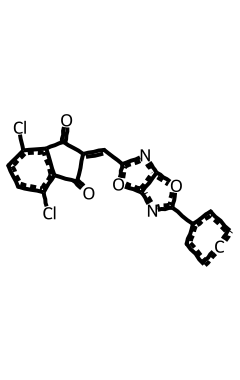 O=C1C(=Cc2nc3oc(-c4ccccc4)nc3o2)C(=O)c2c(Cl)ccc(Cl)c21